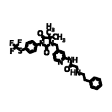 CC1(C)C(=O)N(c2ccc(SC(F)(F)F)cc2)C(=O)N1Cc1ccnc(NC(=O)CNCCc2ccccc2)c1